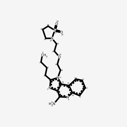 CCCCc1nc2c(N)nc3ccccc3c2n1CCOCCN1CCCS1(=O)=O